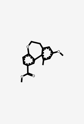 COC(=O)c1ccc2c(c1)-c1c(C)cc(OC)cc1CCO2